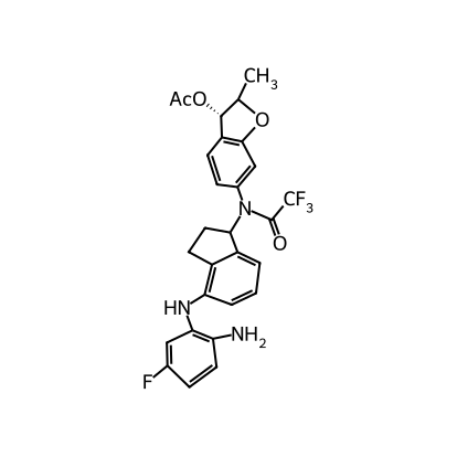 CC(=O)O[C@H]1c2ccc(N(C(=O)C(F)(F)F)C3CCc4c(Nc5cc(F)ccc5N)cccc43)cc2OC1C